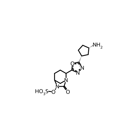 N[C@H]1CC[C@@H](c2nnc(C3CCC4CN3C(=O)N4OS(=O)(=O)O)o2)C1